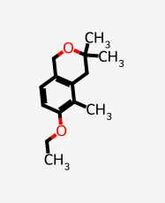 CCOc1ccc2c(c1C)CC(C)(C)OC2